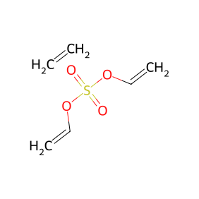 C=C.C=COS(=O)(=O)OC=C